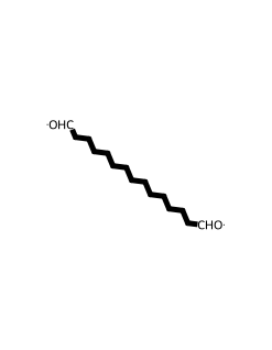 O=[C]CCCCCCCCCCCCC[C]=O